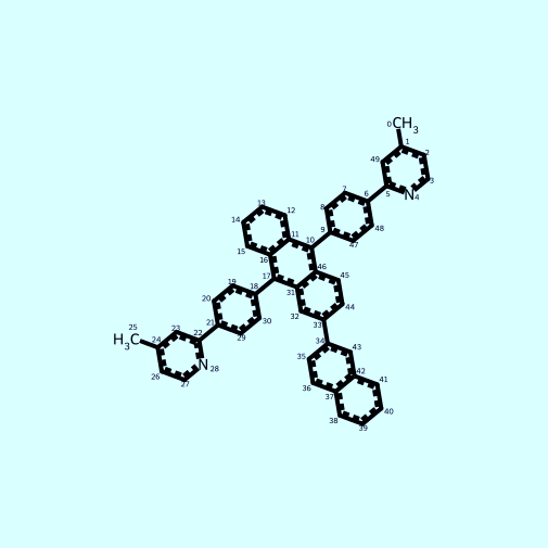 Cc1ccnc(-c2ccc(-c3c4ccccc4c(-c4ccc(-c5cc(C)ccn5)cc4)c4cc(-c5ccc6ccccc6c5)ccc34)cc2)c1